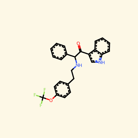 O=C(c1c[nH]c2ccccc12)C(NCCc1ccc(OC(F)(F)F)cc1)c1ccccc1